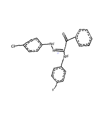 O=C(/C(=N\Nc1ccc(Cl)cc1)Nc1ccc(F)cc1)c1ccccc1